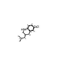 CN(C)CC1CNc2ccc(Cl)cc2C1